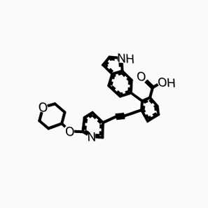 O=C(O)c1cccc(C#Cc2ccc(OC3CCOCC3)nc2)c1-c1ccc2cc[nH]c2c1